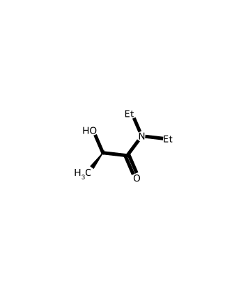 CCN(CC)C(=O)[C@@H](C)O